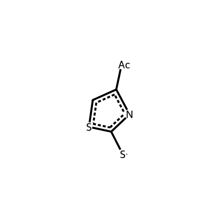 CC(=O)c1csc([S])n1